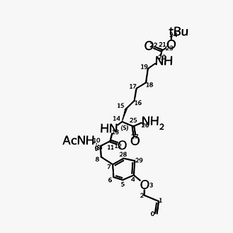 C=CCOc1ccc(C[C@H](NC(C)=O)C(=O)N[C@@H](CCCCCNC(=O)OC(C)(C)C)C(N)=O)cc1